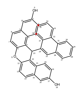 Oc1ccc2c3c(ccc2c1)Oc1ccc2cc(O)ccc2c1C3c1cc2ccccc2c2ccccc12